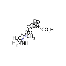 CCC(CC)(Cc1ccc(C(=O)O/C(C)=C(F)/C=C(\C)C(=N)N)s1)C(=O)NCCC(=O)O